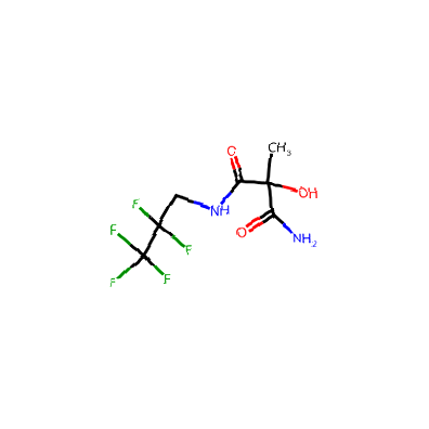 CC(O)(C(N)=O)C(=O)NCC(F)(F)C(F)(F)F